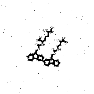 NC(CCCC(NC(=O)OCC1c2ccccc2-c2ccccc21)C(=O)O)C(=O)O.NC(CCNC(=O)OCC1c2ccccc2-c2ccccc21)C(=O)O